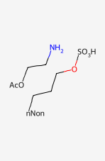 CC(=O)OCCN.CCCCCCCCCCCCOS(=O)(=O)O